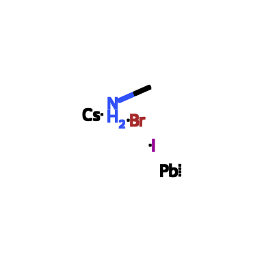 CN.[Br].[Cs].[I].[Pb]